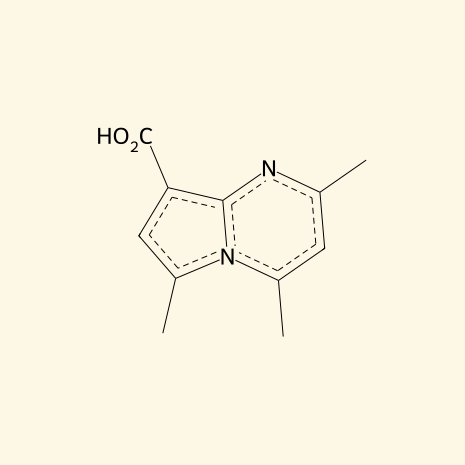 Cc1cc(C)n2c(C)cc(C(=O)O)c2n1